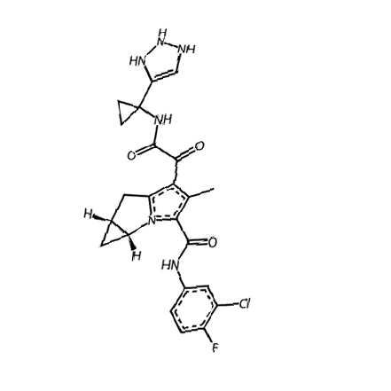 Cc1c(C(=O)C(=O)NC2(C3=CNNN3)CC2)c2n(c1C(=O)Nc1ccc(F)c(Cl)c1)[C@@H]1C[C@@H]1C2